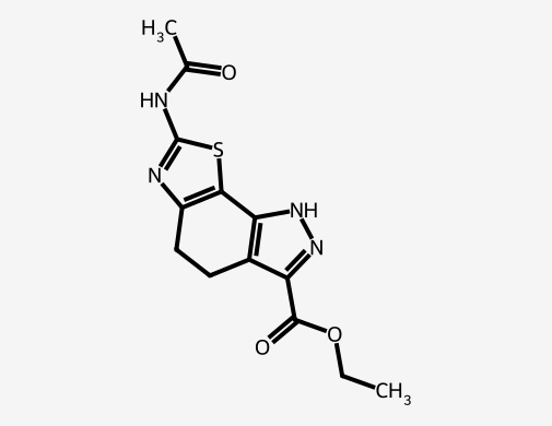 CCOC(=O)c1n[nH]c2c1CCc1nc(NC(C)=O)sc1-2